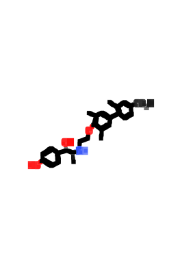 Cc1cc(C(=O)O)ccc1-c1cc(C)c(OCCN[C@@H](C)[C@@H](O)c2ccc(O)cc2)c(C)c1